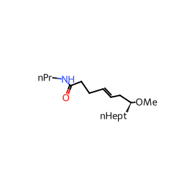 CCCCCCC[C@@H](C/C=C/CCC(=O)NCCC)OC